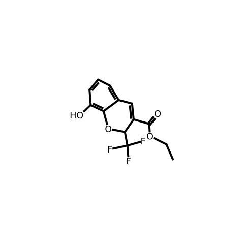 CCOC(=O)C1=Cc2cccc(O)c2OC1C(F)(F)F